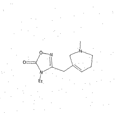 CCn1c(CC2=CCCN(C)C2)noc1=O